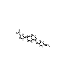 O=[N+]([O-])c1ccc(Oc2ccnc3cc(-c4cnn(C(F)F)c4)ccc23)cc1